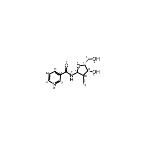 O=C(NC1O[C@H](CO)[C@@H](O)[C@H]1F)c1cccnc1